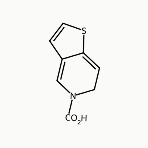 O=C(O)N1C=c2ccsc2=CC1